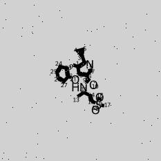 Cc1c(C2CC2)ncc(C(=O)NC(C)/C=C/S(C)(=O)=O)c1Oc1ccccc1